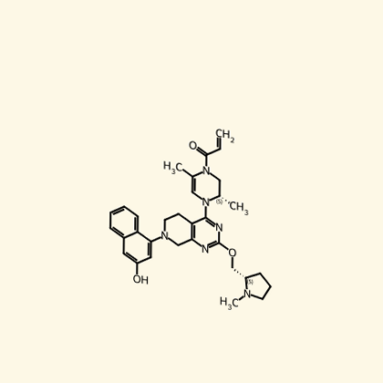 C=CC(=O)N1C[C@H](C)N(c2nc(OC[C@@H]3CCCN3C)nc3c2CCN(c2cc(O)cc4ccccc24)C3)C=C1C